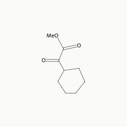 COC(=O)C(=O)C1CCCCC1